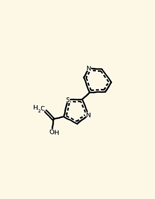 C=C(O)c1cnc(-c2cccnc2)s1